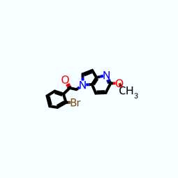 COc1ccc2c(ccn2CC(=O)c2ccccc2Br)n1